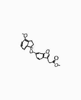 COC(=O)Cc1coc2cc(O[C@@H]3CCc4c(OC)cccc43)ccc12